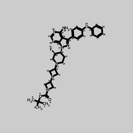 CC(C)(C)OC(=O)N1CC(N2CC(N3CC[C@H](n4nc(-c5ccc(Oc6ccccc6)cc5)c5c(N)ncnc54)[C@H](F)C3)C2)C1